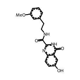 COc1cccc(CCNC(=O)c2nc3ccc(O)cc3c(=O)[nH]2)c1